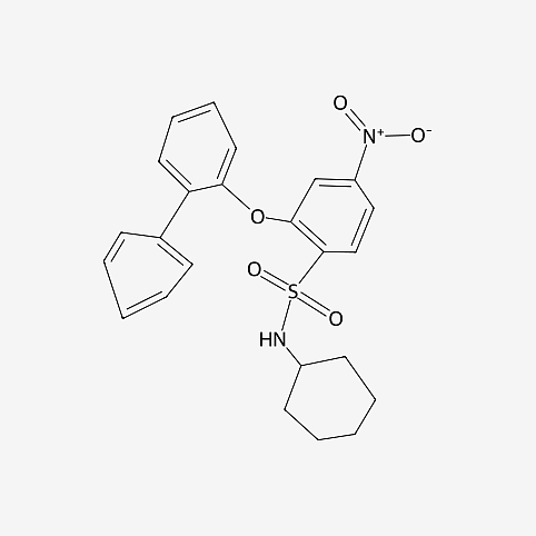 O=[N+]([O-])c1ccc(S(=O)(=O)NC2CCCCC2)c(Oc2ccccc2-c2ccccc2)c1